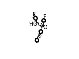 O=C1[C@H](c2ccc(OCc3ccccc3)cc2)[C@H](CC[C@H](O)c2ccc(F)cc2)N1c1ccc(F)cc1